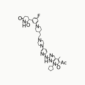 CC(=O)c1c(C)c2cnc(Nc3ccc(N4CCN(CCC5CCN(c6cc(F)cc(C7CCC(=O)NC7=O)c6)CC5)CC4)cn3)nc2n(C2CCCC2)c1=O